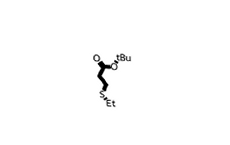 CCSCCC(=O)OC(C)(C)C